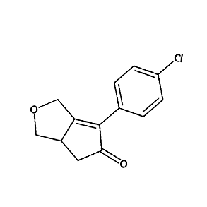 O=C1CC2COCC2=C1c1ccc(Cl)cc1